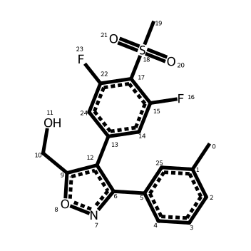 Cc1cccc(-c2noc(CO)c2-c2cc(F)c(S(C)(=O)=O)c(F)c2)c1